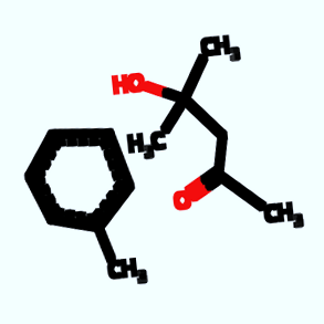 CC(=O)CC(C)(C)O.Cc1ccccc1